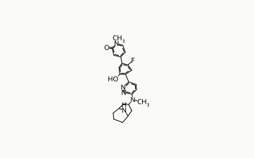 CN(c1ccc(-c2cc(F)c(-c3ccn(C)c(=O)c3)cc2O)nn1)C1CC2CCCC(C1)N2